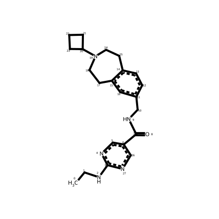 CCNc1ncc(C(=O)NCc2ccc3c(c2)CCN(C2CCC2)CC3)cn1